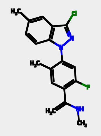 C=C(NC)c1cc(C)c(-n2nc(Cl)c3cc(C)ccc32)cc1F